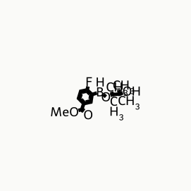 COC(=O)c1ccc(F)c(BOC(C)(C)C(C)(C)O)c1